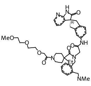 CCC1(C(=O)N(CC(=O)Nc2ccc3c(c2)C[C@@]2(C3)C(=O)Nc3ncccc32)Cc2ccccc2CNC)CCN(C(=O)COCCOCCOC)CC1